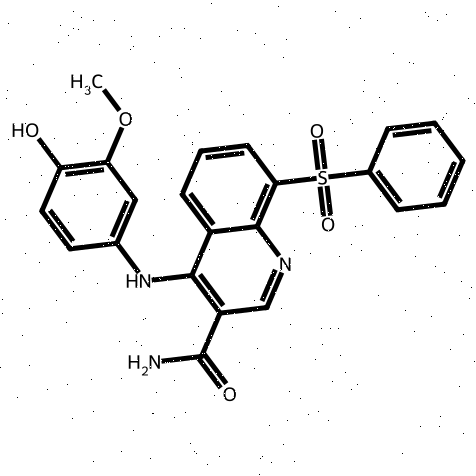 COc1cc(Nc2c(C(N)=O)cnc3c(S(=O)(=O)c4ccccc4)cccc23)ccc1O